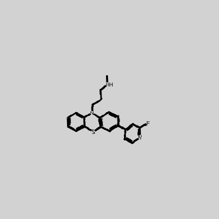 CNCCCN1c2ccccc2Sc2cc(-c3ccnc(F)c3)ccc21